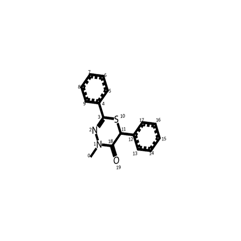 CN1N=C(c2ccccc2)SC(c2ccccc2)C1=O